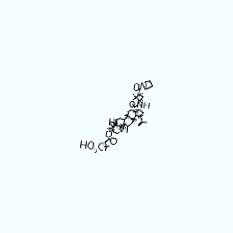 C=C(C)[C@@H]1CC[C@]2(C(=O)N[C@H]3C[C@H](C(=O)N4CCCC4)C3(C)C)CC[C@@]3(C)C4CC[C@H]5C(C)(C)[C@@H](OC(=O)CC(C)(C)C(=O)O)CC[C@]5(C)[C@H]4CC[C@]3(C)C12